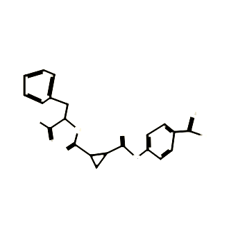 N=C(N)c1ccc(NC(=O)C2CC2C(=O)NC(Cc2ccccc2)C(=O)O)cc1